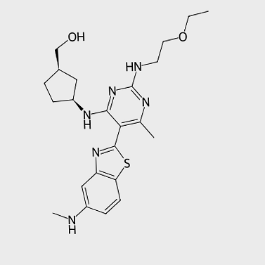 CCOCCNc1nc(C)c(-c2nc3cc(NC)ccc3s2)c(N[C@H]2CC[C@@H](CO)C2)n1